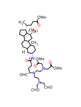 COC(=O)CCC(C)[C@H]1CCC2C3CC[C@@H]4C[C@@H](NC(=O)CC[C@@H](C=O)N(CCN(CC=O)CC=O)CCN(CC(=O)OC)CC(=O)OC)CC[C@]4(C)C3C[C@H](O)[C@@]21C